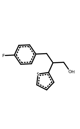 OCC(Cc1ccc(F)cc1)c1cccs1